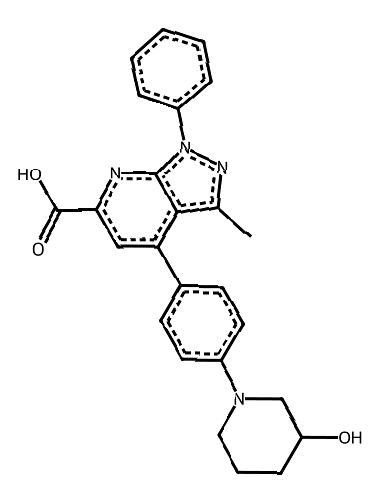 Cc1nn(-c2ccccc2)c2nc(C(=O)O)cc(-c3ccc(N4CCCC(O)C4)cc3)c12